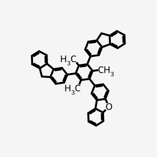 Cc1c(-c2ccc3c(c2)-c2ccccc2C3)c(C)c(-c2ccc3oc4ccccc4c3c2)c(C)c1-c1ccc2c(c1)-c1ccccc1C2